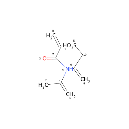 C=CC(=O)NC(=C)C.C=CCS(=O)(=O)O